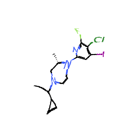 CC(C1CC1)N1CCN(c2cc(I)c(Cl)c(F)n2)[C@@H](C)C1